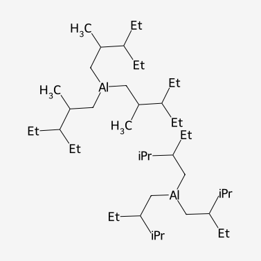 CCC(CC)C(C)[CH2][Al]([CH2]C(C)C(CC)CC)[CH2]C(C)C(CC)CC.CCC([CH2][Al]([CH2]C(CC)C(C)C)[CH2]C(CC)C(C)C)C(C)C